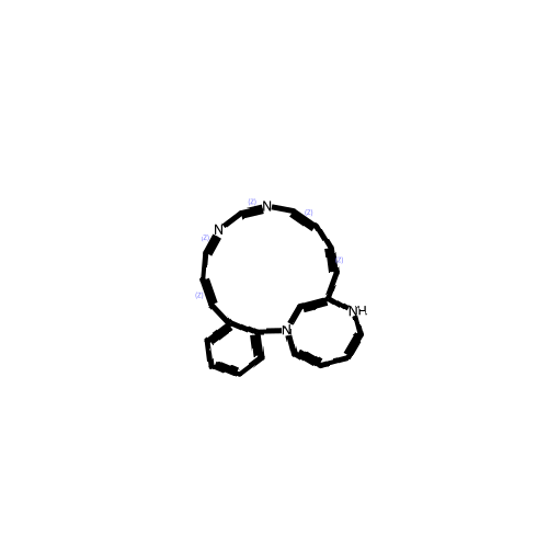 C1=C\N=C/N=C\C=C/c2ccccc2-n2cccc[nH]c(c2)\C=C/1